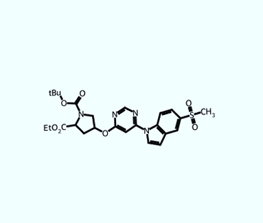 CCOC(=O)C1CC(Oc2cc(-n3ccc4cc(S(C)(=O)=O)ccc43)ncn2)CN1C(=O)OC(C)(C)C